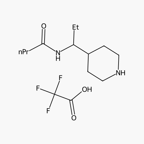 CCCC(=O)NC(CC)C1CCNCC1.O=C(O)C(F)(F)F